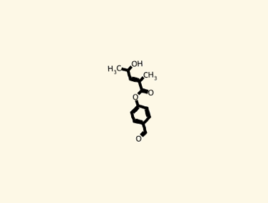 CC(=CC(C)O)C(=O)Oc1ccc(C=O)cc1